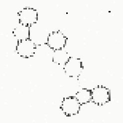 C1=CC(n2c3ccccc3c3ccccc32)CC2=C1c1cccc(-c3cccc4c3-c3ccccc3C4)c1C2